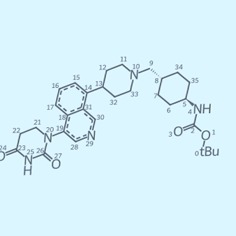 CC(C)(C)OC(=O)N[C@H]1CC[C@H](CN2CCC(c3cccc4c(N5CCC(=O)NC5=O)cncc34)CC2)CC1